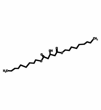 CCCCCCCCCOC(=O)CC(O)CC(=O)OCCCCCCCCC